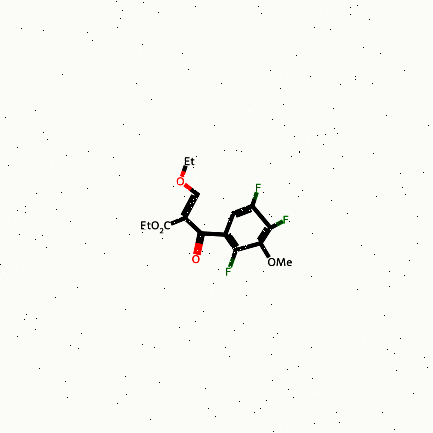 CCOC=C(C(=O)OCC)C(=O)c1cc(F)c(F)c(OC)c1F